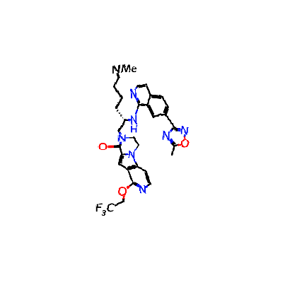 CNCCCC[C@@H](CN1CCn2c(cc3c(OCC(F)(F)F)nccc32)C1=O)Nc1nccc2ccc(-c3noc(C)n3)cc12